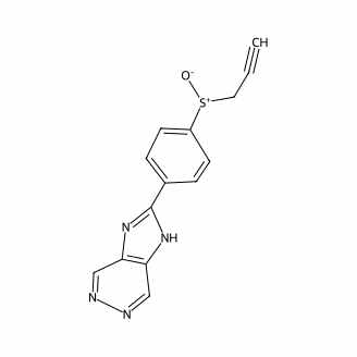 C#CC[S+]([O-])c1ccc(-c2nc3cnncc3[nH]2)cc1